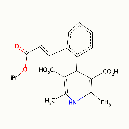 CC1=C(C(=O)O)C(c2ccccc2C=CC(=O)OC(C)C)C(C(=O)O)=C(C)N1